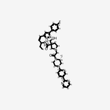 CCC(/C=C\c1cc(-c2ccc(F)cc2)n[nH]1)NC(=O)C1(CO)CCN(CC(=O)N2CCN(c3ccc(-c4ncccn4)cn3)C[C@H]2C)C1